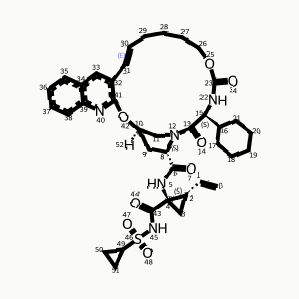 C=C[C@@H]1C[C@]1(NC(=O)[C@@H]1C[C@@H]2CN1C(=O)[C@H](C1CCCCC1)NC(=O)OCCCC/C=C/c1cc3ccccc3nc1O2)C(=O)NS(=O)(=O)C1CC1